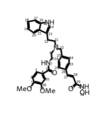 COc1ccc(C(=O)NCCN(CCc2c[nH]c3ccccc23)Cc2ccc(/C=C/C(=O)NO)cc2)cc1OC